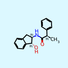 C[C@@H](C(=O)N[C@@H]1Cc2ccccc2[C@H]1O)c1ccccc1